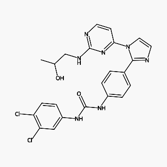 CC(O)CNc1nccc(-n2ccnc2-c2ccc(NC(=O)Nc3ccc(Cl)c(Cl)c3)cc2)n1